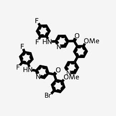 COc1ccc(-c2ccncc2)cc1C(=O)c1ccc(Nc2ccc(F)cc2F)nc1.COc1ccc(Br)cc1C(=O)c1ccc(Nc2ccc(F)cc2F)nc1